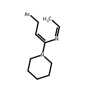 C/C=N\C(=C/CC(C)=O)N1CCCCC1